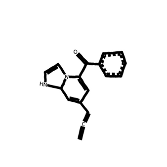 C=C=CC1=CC2NC=CN2C(C(=O)c2ccccc2)=C1